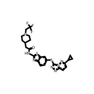 O=C(CC1CCN(CC(F)(F)F)CC1)Nc1nc2ccc(Sc3nnc4ccc(C5CC5)nn34)cc2s1